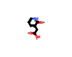 O=C(O)Cc1ccc[nH]c1=O